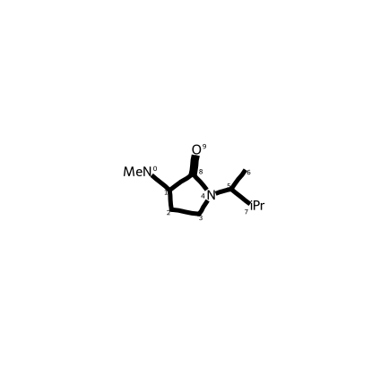 CNC1CCN(C(C)C(C)C)C1=O